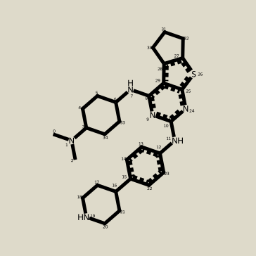 CN(C)C1CCC(Nc2nc(Nc3ccc(C4CCNCC4)cc3)nc3sc4c(c23)CCC4)CC1